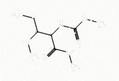 CCC(OC)C(NC(=O)OC)C(=O)OC